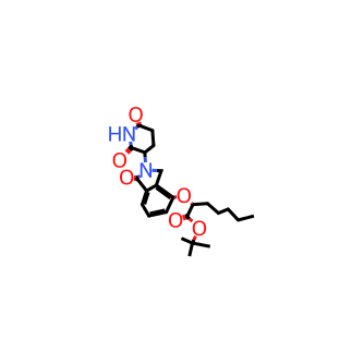 CCCCCC(Oc1cccc2c1CN(C1CCC(=O)NC1=O)C2=O)C(=O)OC(C)(C)C